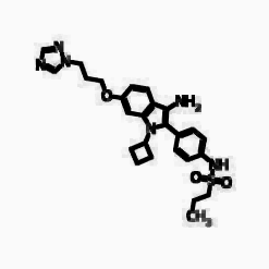 CCCS(=O)(=O)Nc1ccc(-c2c(N)c3ccc(OCCCn4cncn4)cc3n2C2CCC2)cc1